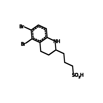 O=S(=O)(O)CCCC1CCc2c(ccc(Br)c2Br)N1